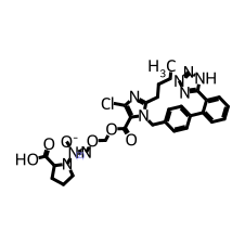 CCCCc1nc(Cl)c(C(=O)OCO/N=[N+](\[O-])N2CCCC2C(=O)O)n1Cc1ccc(-c2ccccc2-c2nnn[nH]2)cc1